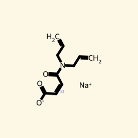 C=CCN(CC=C)C(=O)/C=C\C(=O)[O-].[Na+]